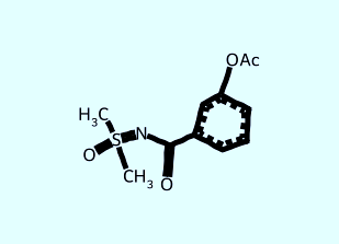 CC(=O)Oc1cccc(C(=O)N=S(C)(C)=O)c1